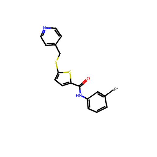 CC(C)c1cccc(NC(=O)c2ccc(SCc3ccncc3)s2)c1